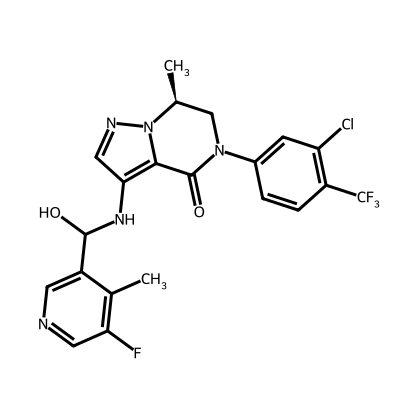 Cc1c(F)cncc1C(O)Nc1cnn2c1C(=O)N(c1ccc(C(F)(F)F)c(Cl)c1)C[C@@H]2C